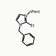 CCCCC[n+]1ccn(Cc2ccccc2)c1CC